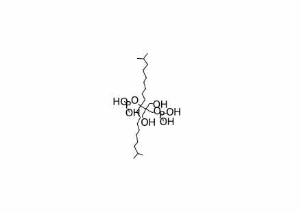 CC(C)CCCCCCCC(CCCCCCCC(C)C)(OP(O)O)C(CO)(CO)COP(O)O